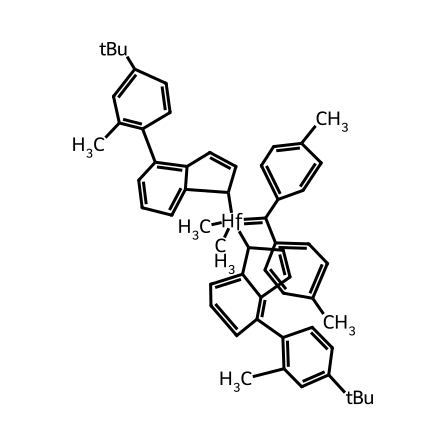 Cc1ccc([C](c2ccc(C)cc2)=[Hf]([CH3])([CH3])([CH]2C=Cc3c(-c4ccc(C(C)(C)C)cc4C)cccc32)[CH]2C=Cc3c(-c4ccc(C(C)(C)C)cc4C)cccc32)cc1